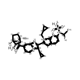 CS(=O)(=O)N(c1ccc2cc(-c3nc4cc(C(=O)N5[C@H]6CC[C@@H]5[C@H](N)C6)ccn4c3C3CC3)n(CC3CC3)c2n1)C(F)F